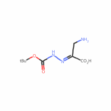 CC(C)(C)OC(=O)NN=C(CN)C(=O)O